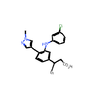 CCC(CC(=O)O)c1ccc(-c2cnn(C)c2)c(Nc2cccc(Cl)c2)c1